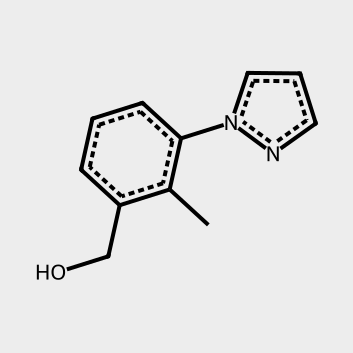 Cc1c(CO)cccc1-n1cccn1